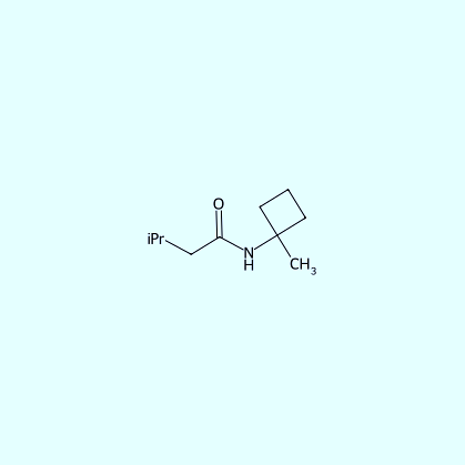 CC(C)CC(=O)NC1(C)CCC1